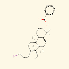 C[C@H](CI)[C@H]1CC[C@H]2[C@@H]3CC=C4C(C)(C)[C@@H](OC(=O)c5ccccc5)CC[C@]4(C)[C@H]3CC[C@]12C